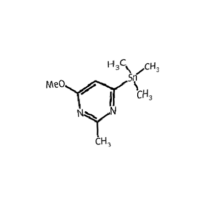 COc1c[c]([Sn]([CH3])([CH3])[CH3])nc(C)n1